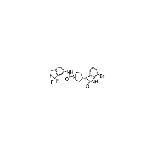 Cc1ccc(NC(=O)N2CCC(n3c(=O)[nH]c4c(Br)cccc43)CC2)cc1C(F)(F)F